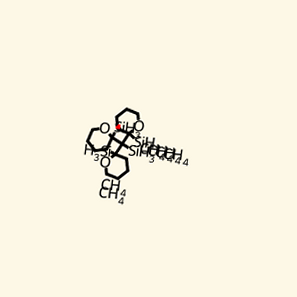 C.C.C.C.C.C.[SiH3]C1(C([SiH3])(C2([SiH3])CCCCO2)C2([SiH3])CCCCO2)CCCCO1